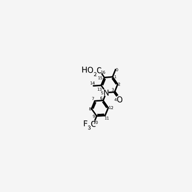 Cc1cc(=O)n(-c2ccc(C(F)(F)F)cc2)c(C)c1C(=O)O